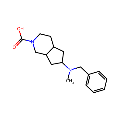 CN(Cc1ccccc1)C1CC2CCN(C(=O)O)CC2C1